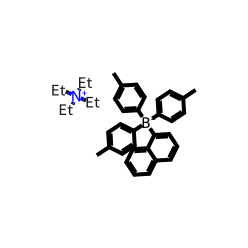 CC[N+](CC)(CC)CC.Cc1ccc([B-](c2ccc(C)cc2)(c2ccc(C)cc2)c2cccc3ccccc23)cc1